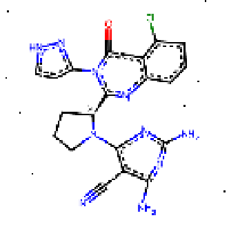 N#Cc1c(N)nc(N)nc1N1CCC[C@H]1c1nc2cccc(Cl)c2c(=O)n1-c1cc[nH]n1